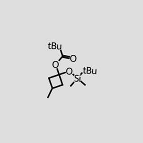 CC1CC(OC(=O)C(C)(C)C)(O[Si](C)(C)C(C)(C)C)C1